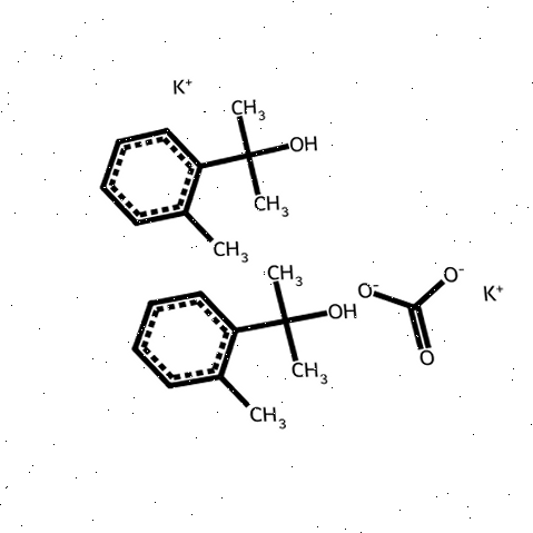 Cc1ccccc1C(C)(C)O.Cc1ccccc1C(C)(C)O.O=C([O-])[O-].[K+].[K+]